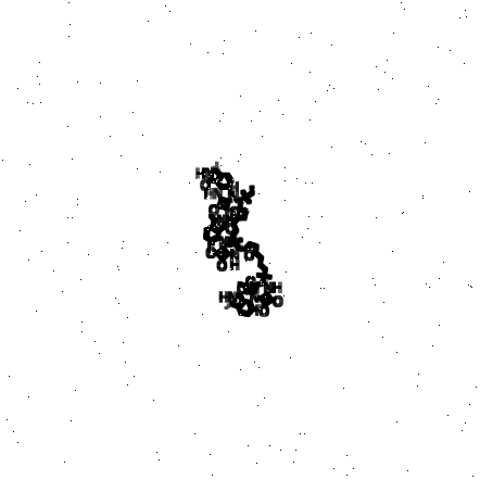 CCC(C)(C)[C@@H](Nc1c(Nc2c(F)ccc3c2C(=O)N[C@@H]3C)c(=O)c1=O)c1ccc(CCCC(C)(C)[C@@H](Nc2c(Nc3c(F)ccc4c3C(=O)NC4C)c(=O)c2=O)c2ccc(CCCC(C)(C)[C@@H](Nc3c(Nc4c(F)ccc5c4C(=O)N[C@H]5C)c(=O)c3=O)c3ccc(C)o3)o2)o1